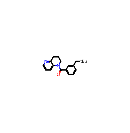 CC(C)(C)Cc1cccc(C(=O)N2CCCc3ncccc32)c1